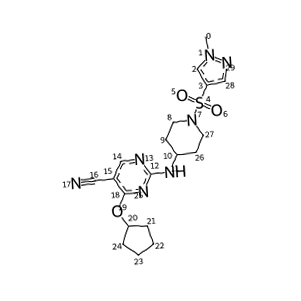 Cn1cc(S(=O)(=O)N2CCC(Nc3ncc(C#N)c(OC4CCCC4)n3)CC2)cn1